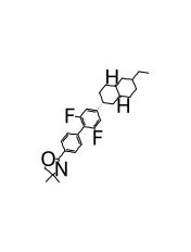 CCC1CC[C@@H]2C[C@H](c3cc(F)c(-c4ccc(C5=NC(C)(C)CO5)cc4)c(F)c3)CC[C@@H]2C1